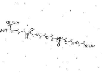 CN[C@@H](CCCCNC(=O)COCCOCCNC(=O)COCCOCCNC(C)=O)C(=O)C(C)C